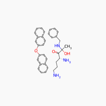 CC(O)(NCc1ccccc1)C(=O)[C@H](N)CCCN.c1ccc2cc(Oc3ccc4ccccc4c3)ccc2c1